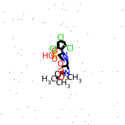 CN(CC1COc2c(S(=O)(=O)O)c(-c3c(Cl)cc(Cl)cc3Cl)nn2C1)C(=O)OC(C)(C)C